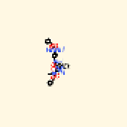 C=CCN(C(=O)OCc1ccccc1)c1cnc2n(c1=O)[C@H](C(=O)NCc1ccc(C(=N)NC(=O)OCc3ccccc3)cc1)C[C@@]2(C)NCC